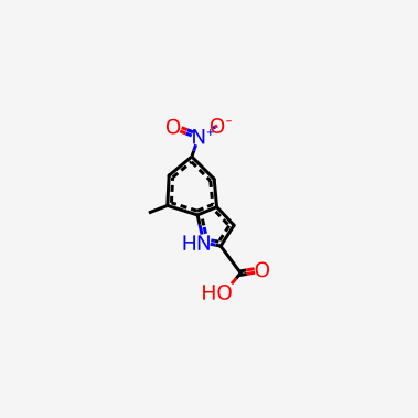 Cc1cc([N+](=O)[O-])cc2cc(C(=O)O)[nH]c12